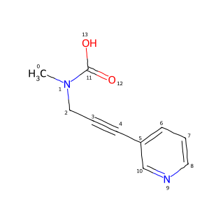 CN(CC#Cc1cccnc1)C(=O)O